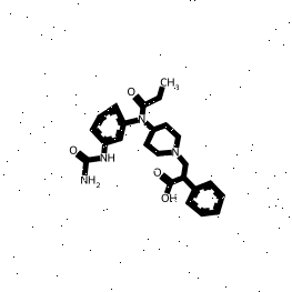 CCC(=O)N(c1cccc(NC(N)=O)c1)C1CCN(CC(C(=O)O)c2ccccc2)CC1